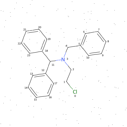 ClCCN(Cc1ccccc1)C(c1ccccc1)c1ccccc1